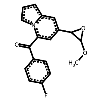 COC1OC1c1cc(C(=O)c2ccc(F)cc2)n2cccc2c1